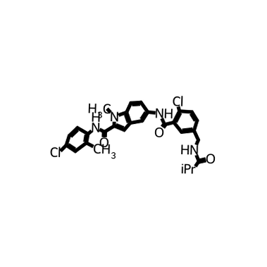 Cc1cc(Cl)ccc1NC(=O)c1cc2cc(NC(=O)c3cc(CNC(=O)C(C)C)ccc3Cl)ccc2n1C